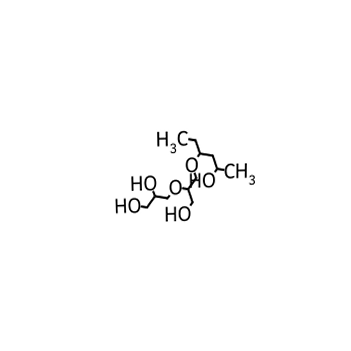 CCC(CC(C)O)OCC(CO)OCC(O)CO